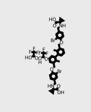 Cc1c(COc2ccc(CNC3(C(=O)O)CC3)cc2Br)cccc1-c1cccc(COc2ccc(CNC3(C(=O)O)CC3)cc2Br)c1C.O=C(O)C(F)(F)F.O=C(O)C(F)(F)F